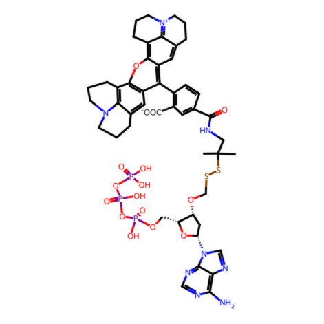 CC(C)(CNC(=O)c1ccc(C2=c3cc4c5c(c3Oc3c2cc2c6c3CCCN6CCC2)CCC[N+]=5CCC4)c(C(=O)[O-])c1)SSCO[C@@H]1C[C@H](n2cnc3c(N)ncnc32)O[C@@H]1COP(=O)(O)OP(=O)(O)OP(=O)(O)O